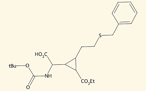 CCOC(=O)C1C(CCSCc2ccccc2)C1C(NC(=O)OC(C)(C)C)C(=O)O